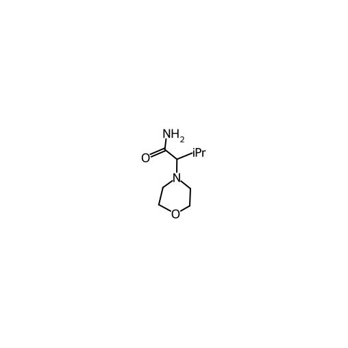 CC(C)C(C(N)=O)N1CCOCC1